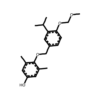 COCOc1ccc(COc2c(C)cc(O)cc2C)cc1C(C)C